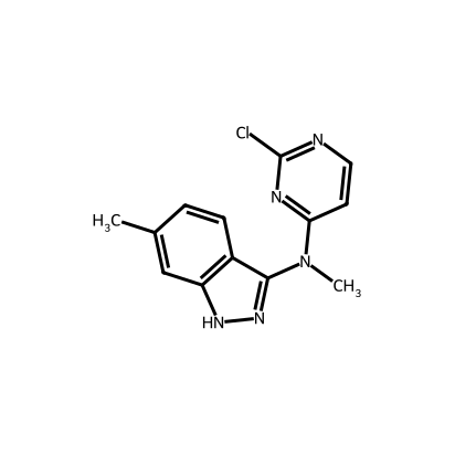 Cc1ccc2c(N(C)c3ccnc(Cl)n3)n[nH]c2c1